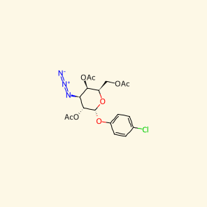 CC(=O)OC[C@H]1O[C@H](Oc2ccc(Cl)cc2)[C@H](OC(C)=O)[C@@H](N=[N+]=[N-])[C@H]1OC(C)=O